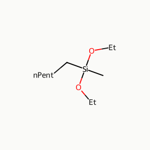 CCCCCC[Si](C)(OCC)OCC